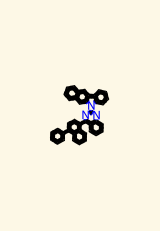 c1ccc(-c2ccc(-c3nc(-n4c5ccccc5c5cc6ccccc6cc54)nc4ccccc34)c3ccccc23)cc1